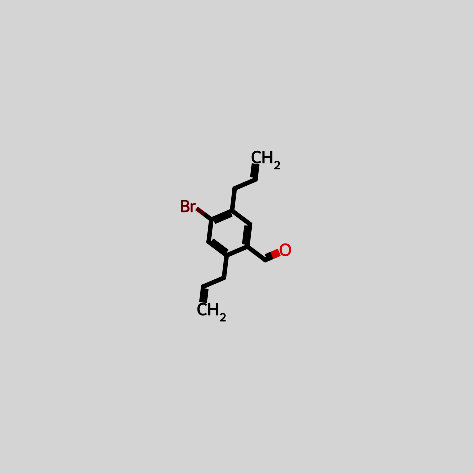 C=CCc1cc(C=O)c(CC=C)cc1Br